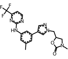 Cc1cc(Nc2nccc(C(F)(F)F)n2)cc(-c2cnn(CC3CN(C)C(=O)O3)c2)c1